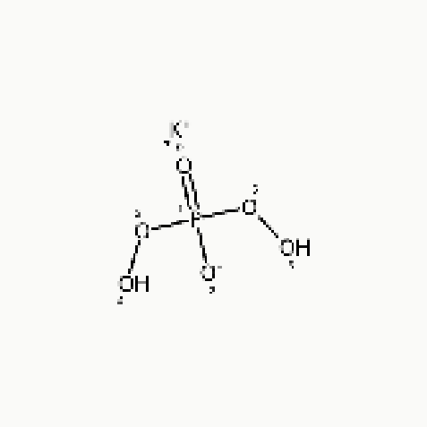 O=P([O-])(OO)OO.[K+]